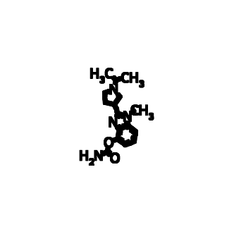 CC(C)N1CCC(c2nc3c(OC(N)=O)cccc3n2C)C1